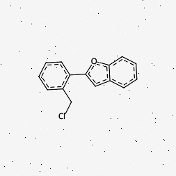 ClCc1ccccc1-c1cc2ccccc2o1